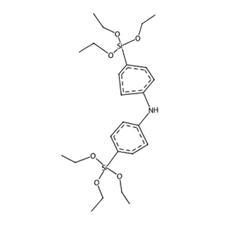 CCO[Si](OCC)(OCC)c1ccc(Nc2ccc([Si](OCC)(OCC)OCC)cc2)cc1